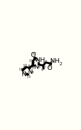 CC([CH]C(N)=O)c1nc(-c2ccncn2)cc(=O)[nH]1